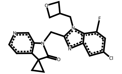 O=C1N(Cc2nc3cc(Cl)cc(F)c3n2CC2COC2)c2cnccc2C12CC2